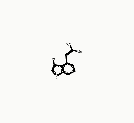 CC(=O)c1c[nH]c2cccc(/C=C(/C(=O)O)C(C)(C)C)c12